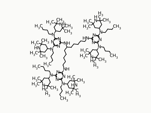 CCCCN(c1nc(NCCCCCC(CCCCCNc2nc(N(CCCC)C3CC(C)(C)NC(C)(C)C3)nc(N(CCCC)C3CC(C)(C)NC(C)(C)C3)n2)Nc2nc(N(CCCC)C3CC(C)(C)NC(C)(C)C3)nc(N(CCCC)C3CC(C)(C)NC(C)(C)C3)n2)nc(N(CCCC)C2CC(C)(C)NC(C)(C)C2)n1)C1CC(C)(C)NC(C)(C)C1